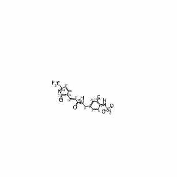 CS(=O)(=O)Nc1ccc(CNC(=O)/C=C/c2ccc(C(F)(F)F)nc2Cl)cc1F